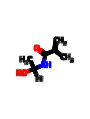 C=C(C)C(=O)NC(C)(O)CC